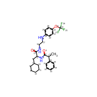 CC(C(=O)NC(CC1CCCCC1)C(=O)NCCNc1ccc(OC(F)(F)F)cc1)c1ccccc1